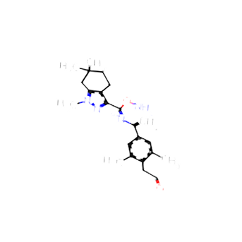 C=C(/N=C(\ON)c1nn(C)c2c1CCC(C)(C)C2)c1cc(C)c(CC=O)c(C)c1